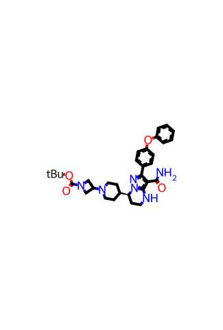 CC(C)(C)OC(=O)N1CC(N2CCC([C@@H]3CCNc4c(C(N)=O)c(-c5ccc(Oc6ccccc6)cc5)nn43)CC2)C1